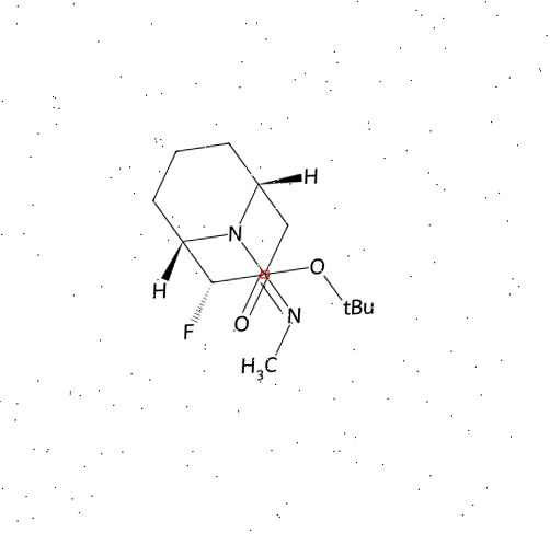 CN=C1C[C@H]2CCC[C@@H]([C@H]1F)N2C(=O)OC(C)(C)C